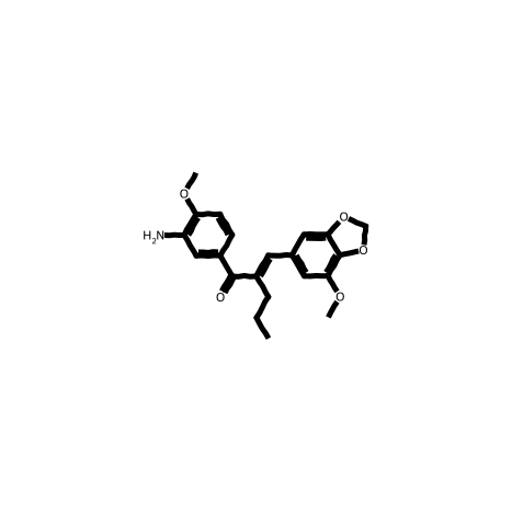 CCC/C(=C\c1cc(OC)c2c(c1)OCO2)C(=O)c1ccc(OC)c(N)c1